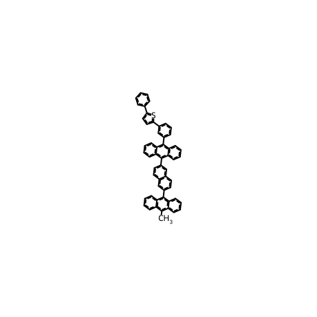 Cc1c2ccccc2c(-c2ccc3cc(-c4c5ccccc5c(-c5cccc(-c6ccc(-c7ccccc7)s6)c5)c5ccccc45)ccc3c2)c2ccccc12